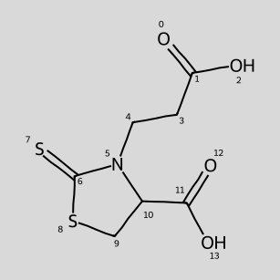 O=C(O)CCN1C(=S)SCC1C(=O)O